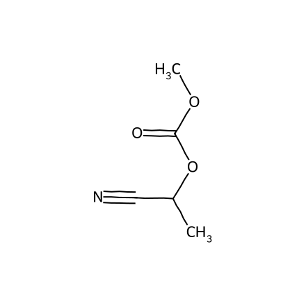 COC(=O)OC(C)C#N